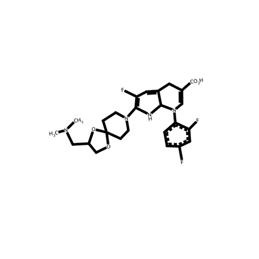 CN(C)CC1COC2(CCN(C3=C(F)C=C4CC(C(=O)O)=CN(c5ccc(F)cc5F)C4N3)CC2)O1